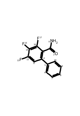 NC(=O)c1c(-c2ccccc2)cc(F)c(F)c1F